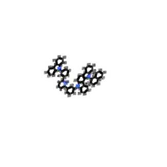 c1cc(-c2cccc(-c3cccc(-n4c5ccccc5c5c4ccc4c6ccccc6n(-c6cccc7ccccc67)c45)c3)n2)cc(-n2c3ccccc3c3ccccc32)c1